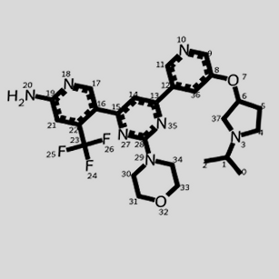 CC(C)N1CCC(Oc2cncc(-c3cc(-c4cnc(N)cc4C(F)(F)F)nc(N4CCOCC4)n3)c2)C1